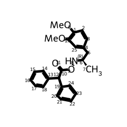 COc1ccc(C[C@@H](C)NOC(=O)C(c2ccccc2)c2ccccc2)cc1OC